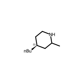 CCCC[C@H]1CCNC(C)C1